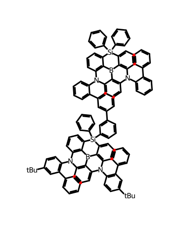 CC(C)(C)c1ccc(N2c3cccc4c3B3c5c2cccc5[Si](c2ccccc2)(c2cccc(-c5cccc(-c6ccccc6N6c7cccc8c7B7c9c(cccc9[Si](c9ccccc9)(c9ccccc9)c9cccc6c97)N8c6ccccc6-c6ccccc6)c5)c2)c2cccc(c23)N4c2ccc(C(C)(C)C)cc2-c2ccccc2)c(-c2ccccc2)c1